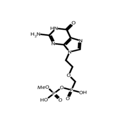 COP(=O)(O)OP(=O)(O)COCCn1cnc2c(=O)[nH]c(N)nc21